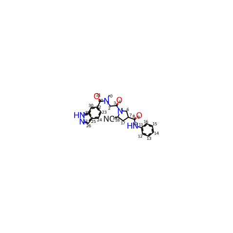 CN(CC(=O)N1CC(C(=O)Nc2ccccc2)CC1C#N)C(=O)c1ccc2cn[nH]c2c1